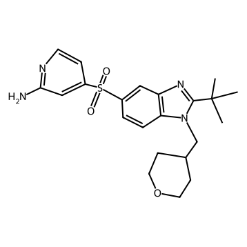 CC(C)(C)c1nc2cc(S(=O)(=O)c3ccnc(N)c3)ccc2n1CC1CCOCC1